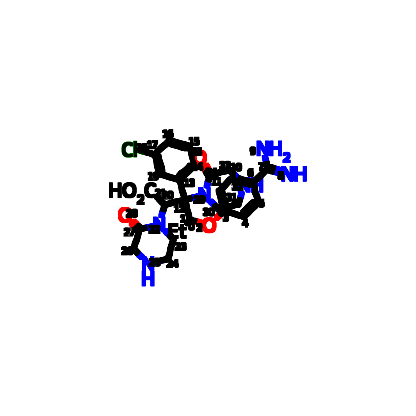 CCC(Oc1ccc(C(=N)N)cc1)C(c1cccc(Cl)c1)(C(C(=O)O)N1CCNCC1=O)N1CCNCC1=O